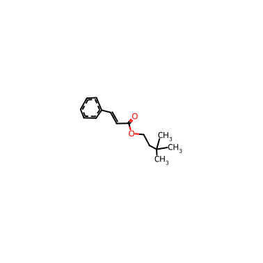 CC(C)(C)CCOC(=O)/C=C/c1ccccc1